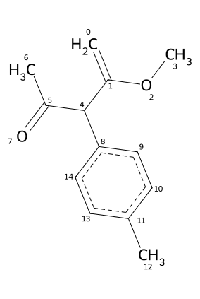 C=C(OC)C(C(C)=O)c1ccc(C)cc1